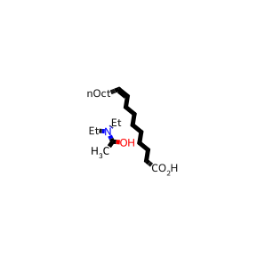 CCCCCCCC/C=C\CCCCCCCC(=O)O.CCN(CC)C(C)O